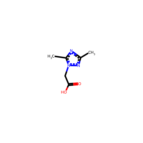 Cc1nc(C)n(CC(=O)O)n1